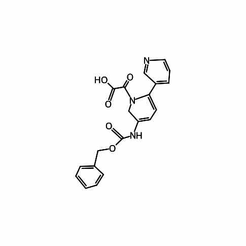 O=C(NC1=CC=C(c2cccnc2)N(C(=O)C(=O)O)C1)OCc1ccccc1